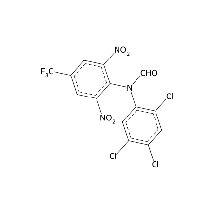 O=CN(c1cc(Cl)c(Cl)cc1Cl)c1c([N+](=O)[O-])cc(C(F)(F)F)cc1[N+](=O)[O-]